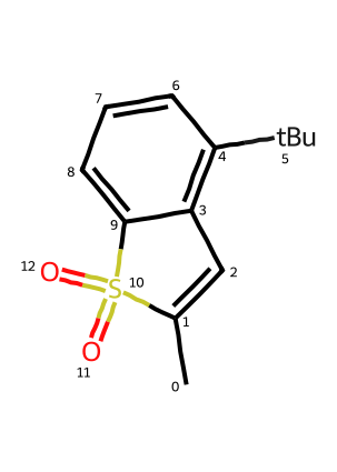 CC1=Cc2c(C(C)(C)C)cccc2S1(=O)=O